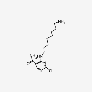 NCCCCCCCCNc1nc(Cl)ncc1C(N)=O